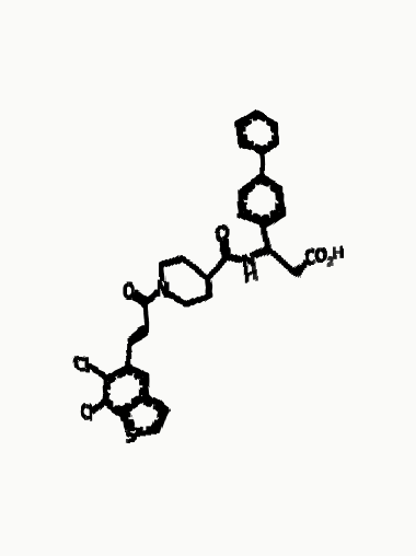 O=C(O)CC(NC(=O)C1CCN(C(=O)C=Cc2cc3ccsc3c(Cl)c2Cl)CC1)c1ccc(-c2ccccc2)cc1